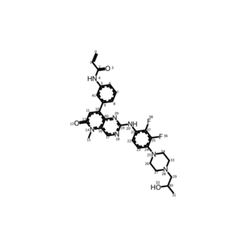 C=CC(=O)Nc1cccc(-c2cc(=O)n(C)c3cnc(Nc4ccc(N5CCN(CC(C)O)CC5)c(F)c4F)nc23)c1